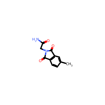 Cc1ccc2c(c1)C(=O)N(CC(N)=O)C2=O